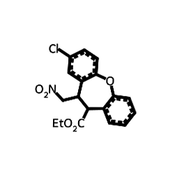 CCOC(=O)C1c2ccccc2Oc2ccc(Cl)cc2C1C[N+](=O)[O-]